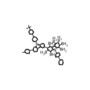 Bc1c(B)c(B)c2c(c1B)c1c(B)c(-c3ccc4c(c3)c3ccc(-c5ccc(C)cc5)cc3n4-c3ccc(-c4ccc(C(C)(C)C)cc4)cc3)c(B)c(B)c1n2-c1ccc(-c2ccccc2)cc1